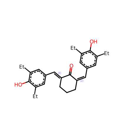 CCc1cc(/C=C2/CCC/C(=C\c3cc(CC)c(O)c(CC)c3)C2=O)cc(CC)c1O